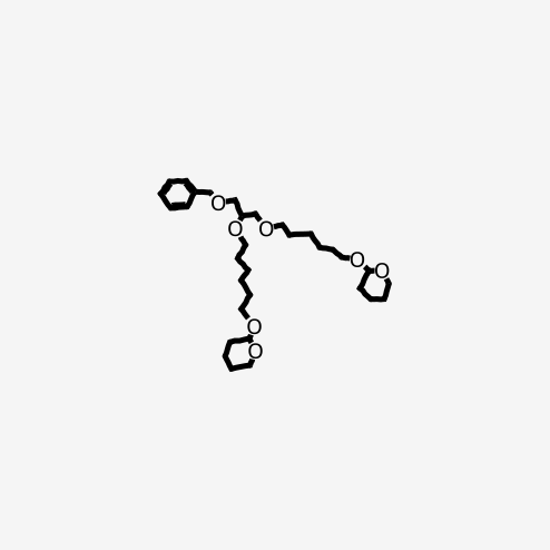 c1ccc(COCC(COCCCCCCOC2CCCCO2)OCCCCCCOC2CCCCO2)cc1